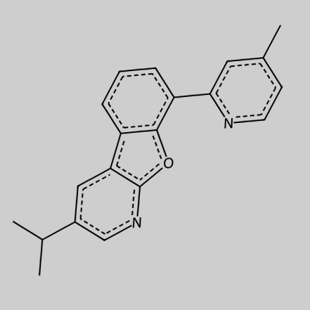 Cc1ccnc(-c2cccc3c2oc2ncc(C(C)C)cc23)c1